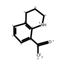 O=C(c1cccc2c1NCCC2)C(F)(F)F